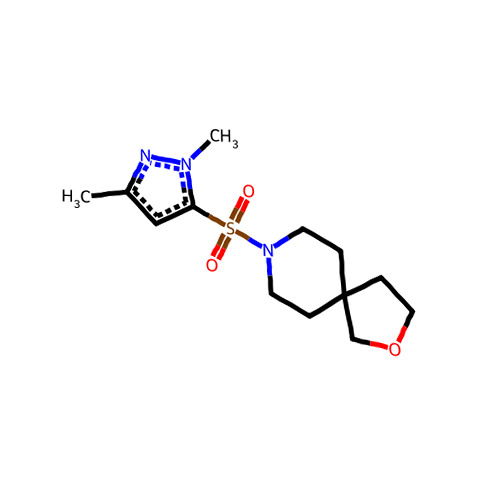 Cc1cc(S(=O)(=O)N2CCC3(CCOC3)CC2)n(C)n1